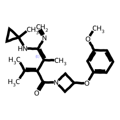 C=N/C(NC1(C)CC1)=C(\C)C(C(=O)N1CC(Oc2cccc(OC)c2)C1)=C(C)C